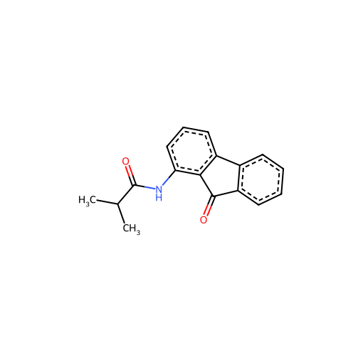 CC(C)C(=O)Nc1cccc2c1C(=O)c1ccccc1-2